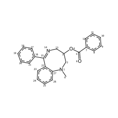 CN1CC(OC(=O)c2ccccc2)C/N=C(/c2ccccc2)c2ccccc21